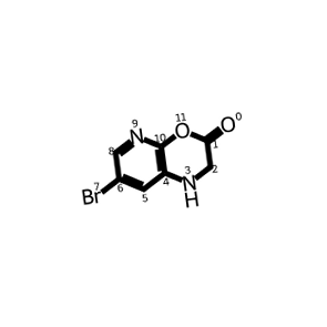 O=C1CNc2cc(Br)cnc2O1